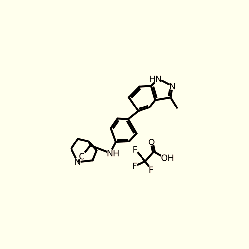 Cc1n[nH]c2ccc(-c3ccc(NC4CN5CCC4CC5)cc3)cc12.O=C(O)C(F)(F)F